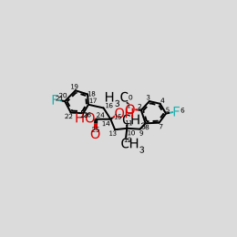 COc1ccc(F)cc1CC(C)(C)CC(O)(Cc1ccc(F)cc1)C(=O)O